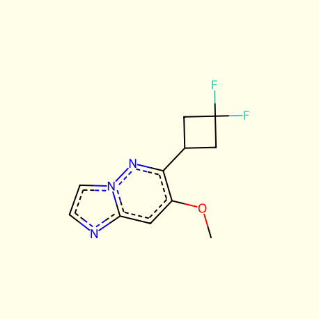 COc1cc2nccn2nc1C1CC(F)(F)C1